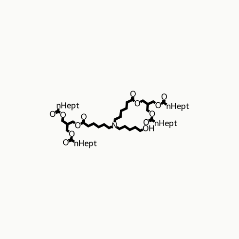 CCCCCCCC(=O)OCC(COC(=O)CCCCCCC)COC(=O)CCCCCN(CCCCCO)CCCCCC(=O)OCC(COC(=O)CCCCCCC)COC(=O)CCCCCCC